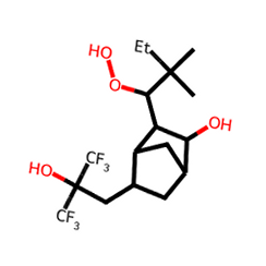 CCC(C)(C)C(OO)C1C(O)C2CC(CC(O)(C(F)(F)F)C(F)(F)F)C1C2